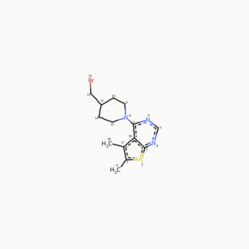 Cc1sc2ncnc(N3CCC(CBr)CC3)c2c1C